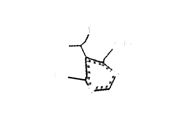 O=Cc1ncnc(C(F)(F)F)c1C(F)F